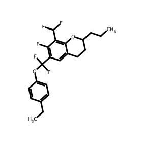 CCCC1CCc2cc(C(F)(F)Oc3ccc(CC)cc3)c(F)c(C(F)F)c2O1